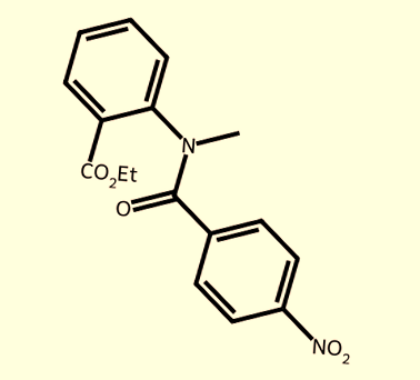 CCOC(=O)c1ccccc1N(C)C(=O)c1ccc([N+](=O)[O-])cc1